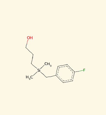 C[Si](C)(CCCO)Cc1ccc(F)cc1